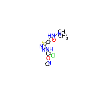 CN(C)CCNC(=O)Cc1ccc2c(c1)sc1ncnc(Nc3ccc(OCc4ccccn4)c(Cl)c3)c12